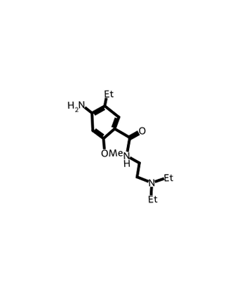 CCc1cc(C(=O)NCCN(CC)CC)c(OC)cc1N